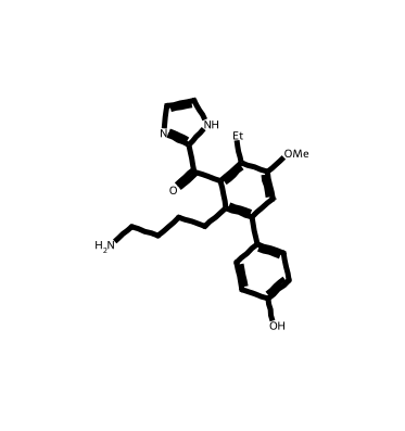 CCc1c(OC)[c]c(-c2ccc(O)cc2)c(CCCCN)c1C(=O)c1ncc[nH]1